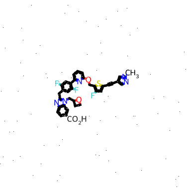 Cn1cc(C#Cc2cc(F)c(COc3cccc(-c4cc(F)c(Cc5nc6ccc(C(=O)O)cc6n5CC5CCO5)cc4F)n3)s2)cn1